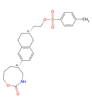 Cc1ccc(S(=O)(=O)OCC[C@H]2CCc3cc([C@H]4CCCOC(=O)NC4)ccc3C2)cc1